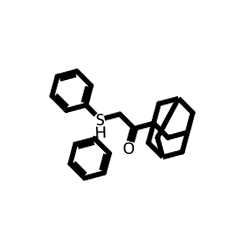 O=C(C[SH](c1ccccc1)c1ccccc1)C12CC3CC(CC(C3)C1)C2